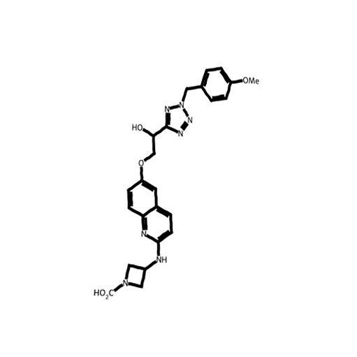 COc1ccc(Cn2nnc(C(O)COc3ccc4nc(NC5CN(C(=O)O)C5)ccc4c3)n2)cc1